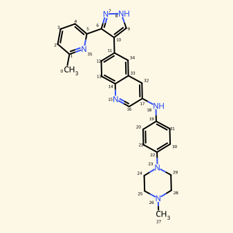 Cc1cccc(-c2n[nH]cc2-c2ccc3ncc(Nc4ccc(N5CCN(C)CC5)cc4)cc3c2)n1